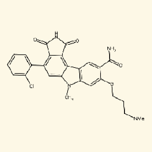 CNCCCOc1cc2c(cc1C(N)=O)c1c3c(c(-c4ccccc4Cl)cc1n2C)C(=O)NC3=O